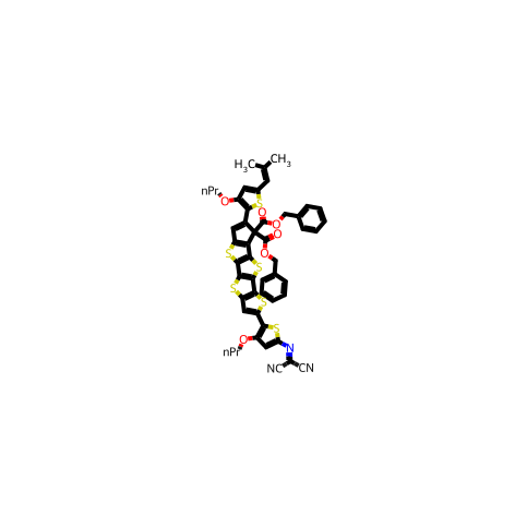 CCCOc1cc(C=C(C)C)sc1C1=Cc2sc3c(sc4c5sc(-c6sc(N=C(C#N)C#N)cc6OCCC)cc5sc34)c2C1(C(=O)OCc1ccccc1)C(=O)OCc1ccccc1